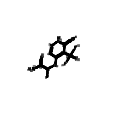 CC(Oc1cn[nH]c(=O)c1C(F)(F)F)C(N)=O